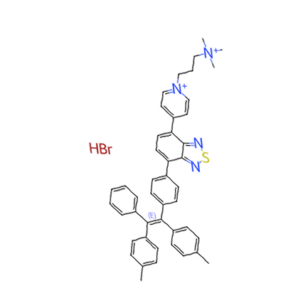 Br.Cc1ccc(/C(=C(\c2ccc(C)cc2)c2ccc(-c3ccc(-c4cc[n+](CCC[N+](C)(C)C)cc4)c4nsnc34)cc2)c2ccccc2)cc1